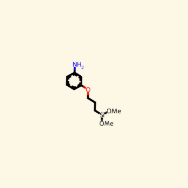 CO[Si](CCCOc1cccc(N)c1)OC